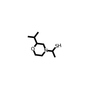 CC(C)C1CN(C(C)S)CCO1